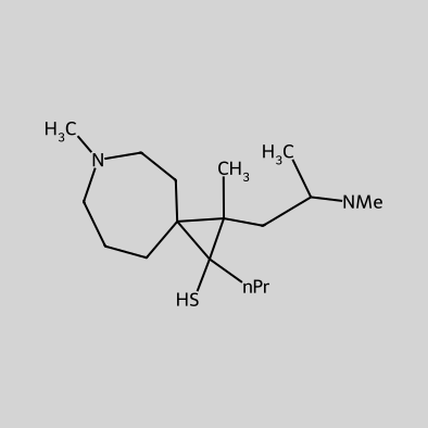 CCCC1(S)C(C)(CC(C)NC)C12CCCN(C)CC2